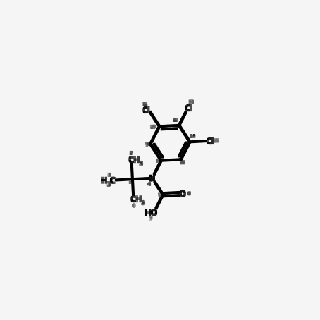 CC(C)(C)N(C(=O)O)c1cc(Cl)c(Cl)c(Cl)c1